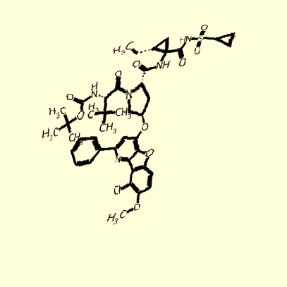 CC[C@@H]1CC1(NC(=O)[C@@H]1C[C@@H](Oc2cc(-c3ccccc3)nc3c2oc2ccc(OC)c(Cl)c23)CN1C(=O)[C@@H](NC(=O)OC(C)(C)C)C(C)(C)C)C(=O)NS(=O)(=O)C1CC1